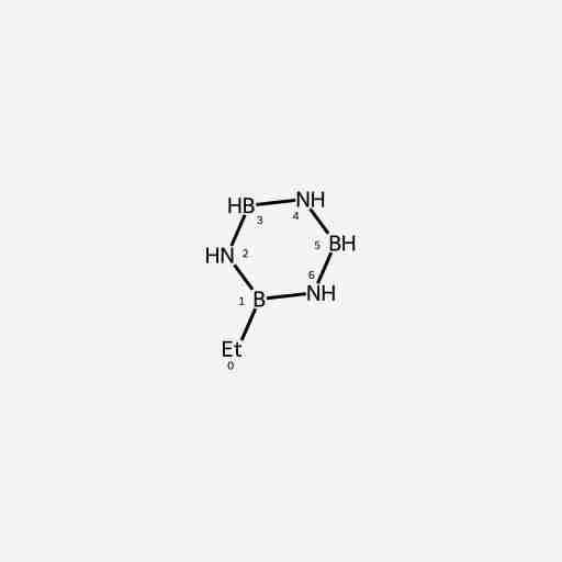 CCB1NBNBN1